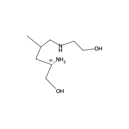 CC(CNCCO)C[C@H](N)CO